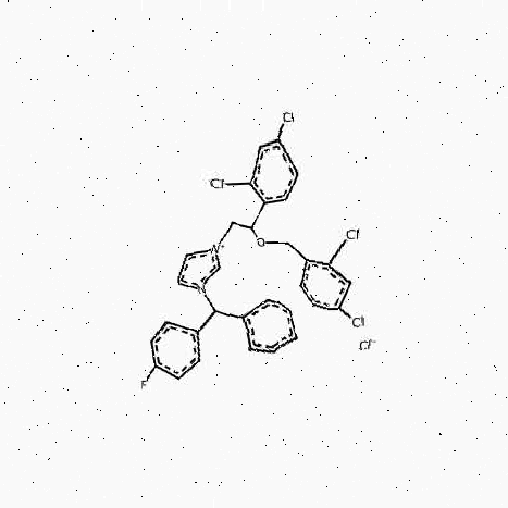 Fc1ccc(C(c2ccccc2)n2cc[n+](CC(OCc3ccc(Cl)cc3Cl)c3ccc(Cl)cc3Cl)c2)cc1.[Cl-]